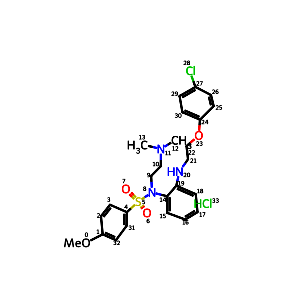 COc1ccc(S(=O)(=O)N(CCN(C)C)c2ccccc2NCCOc2ccc(Cl)cc2)cc1.Cl